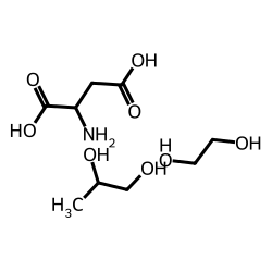 CC(O)CO.NC(CC(=O)O)C(=O)O.OCCO